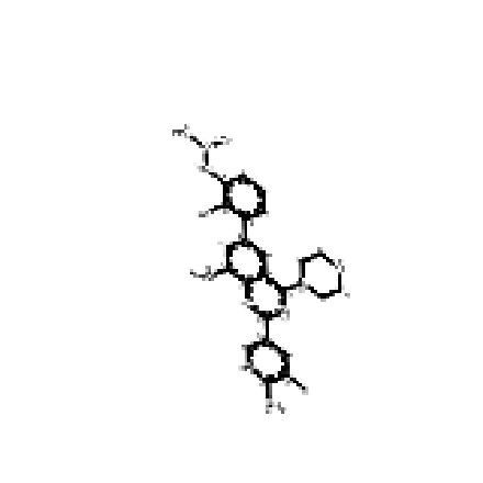 CCC[S+]([O-])Nc1cccc(-c2cc(OC)c3nc(-c4cnc(N)c(C)c4)nc(N4CCOCC4)c3c2)c1F